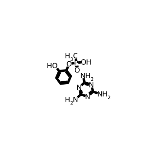 CP(=O)(O)Oc1ccccc1O.Nc1nc(N)nc(N)n1